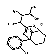 CC(O)C(C)C(N)C1=NC2(c3ccccc3Cl)CCC[C@H](O1)C2=O